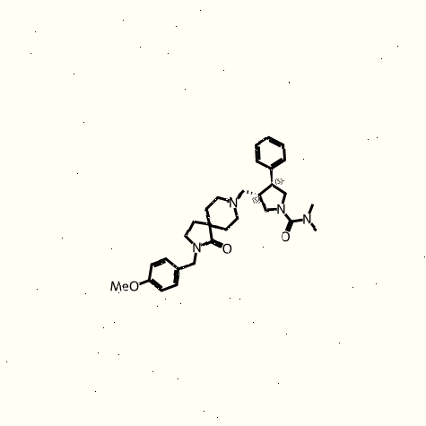 COc1ccc(CN2CCC3(CCN(C[C@H]4CN(C(=O)N(C)C)C[C@@H]4c4ccccc4)CC3)C2=O)cc1